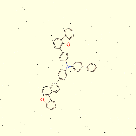 c1ccc(-c2ccc(N(c3ccc(-c4ccc5c(ccc6oc7ccccc7c65)c4)cc3)c3ccc(-c4cccc5c4oc4ccccc45)cc3)cc2)cc1